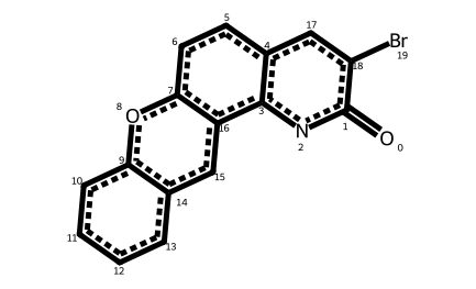 O=c1nc2c(ccc3oc4ccccc4cc32)cc1Br